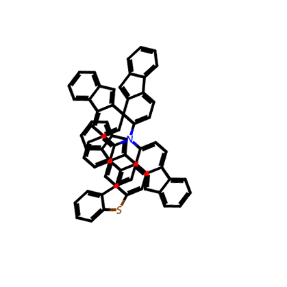 C1=CC2(C3=Cc4ccccc4C3=C1)C1=Cc3ccccc3C1=CC=C2N(C1=CC=C2C(=Cc3ccccc32)C12C=CC=C1C2=Cc2ccccc21)c1ccccc1-c1cccc2sc3ccccc3c12